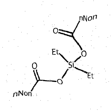 CCCCCCCCCC(=O)O[Si](CC)(CC)OC(=O)CCCCCCCCC